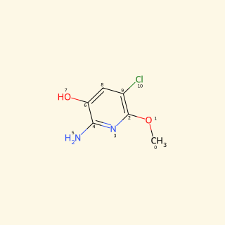 COc1nc(N)c(O)cc1Cl